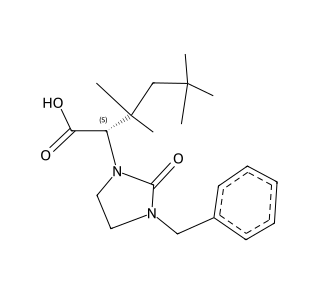 CC(C)(C)CC(C)(C)[C@@H](C(=O)O)N1CCN(Cc2ccccc2)C1=O